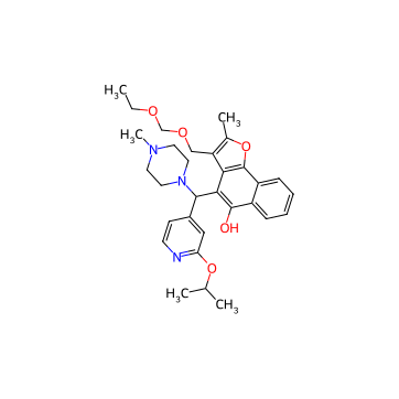 CCOCOCc1c(C)oc2c1c(C(c1ccnc(OC(C)C)c1)N1CCN(C)CC1)c(O)c1ccccc12